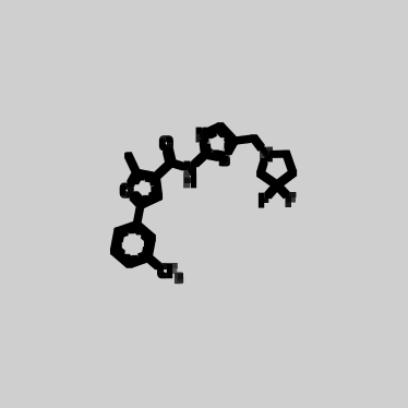 Cc1oc(-c2cccc(C(F)(F)F)c2)cc1C(=O)Nc1ncc(CN2CCC(F)(F)C2)s1